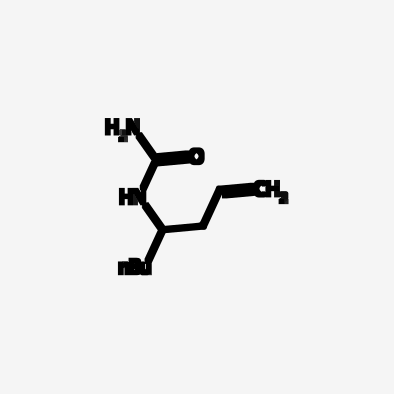 C=CCC(CCCC)NC(N)=O